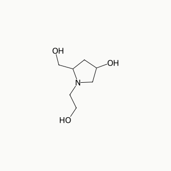 OCCN1CC(O)CC1CO